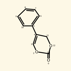 O=C1OC=C(c2ccccc2)CO1